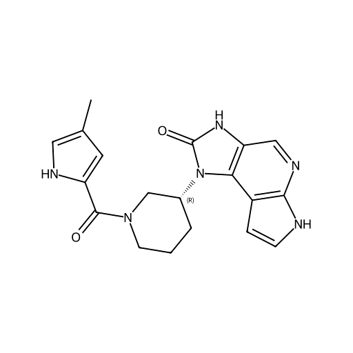 Cc1c[nH]c(C(=O)N2CCC[C@@H](n3c(=O)[nH]c4cnc5[nH]ccc5c43)C2)c1